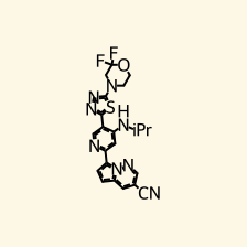 CC(C)Nc1cc(-c2ccc3cc(C#N)cnn23)ncc1-c1nnc(N2CCOC(F)(F)C2)s1